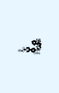 COc1cc(C2CCN(C(=O)OC(C)(C)C)CC2)ccc1Nc1ncc2ccc(-c3ccccc3N(C)S(C)(=O)=O)n2n1